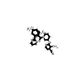 Cc1ccc(C(=O)N2C[C@H](Oc3nccc(C#N)c3C)CC[C@H]2C)c(-c2ncccn2)c1